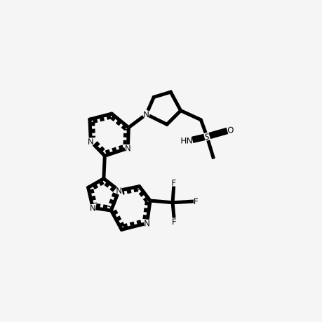 CS(=N)(=O)CC1CCN(c2ccnc(-c3cnc4cnc(C(F)(F)F)cn34)n2)C1